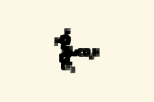 O=C(O)C=Cc1nn(Cc2ccc(F)cc2F)c2ccc(C(F)(F)F)cc12